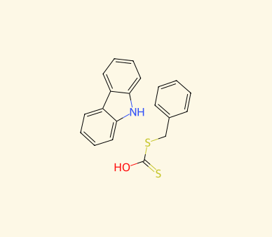 OC(=S)SCc1ccccc1.c1ccc2c(c1)[nH]c1ccccc12